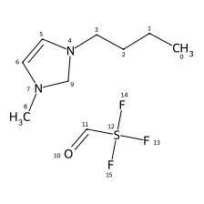 CCCCN1C=CN(C)C1.O=CS(F)(F)F